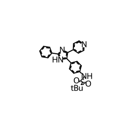 CC(C)(C)S(=O)(=O)Nc1ccc(-c2[nH]c(-c3ccccc3)nc2-c2ccncc2)cc1